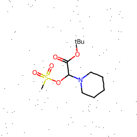 CC(C)(C)OC(=O)C(OS(C)(=O)=O)N1CCCCC1